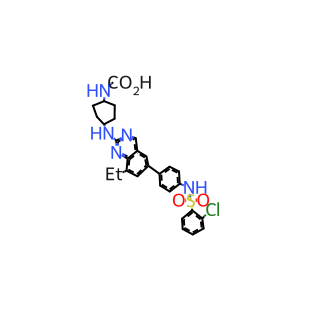 CCc1cc(-c2ccc(NS(=O)(=O)c3ccccc3Cl)cc2)cc2cnc(NC3CCC(NC(=O)O)CC3)nc12